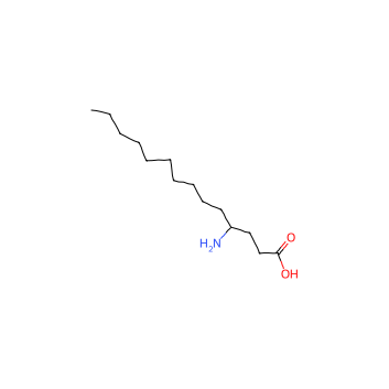 CCCCCCCCCCC(N)CCC(=O)O